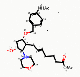 COC(=O)CCCC=CCC1[C@@H](OCc2ccc(NC(C)=O)cc2)C[C@@H](O)[C@@H]1N1CCOCC1